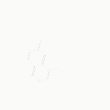 ClCc1cccc2ccc(Br)cc12